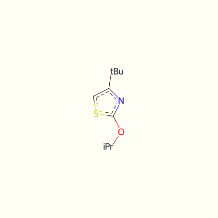 CC(C)Oc1nc(C(C)(C)C)cs1